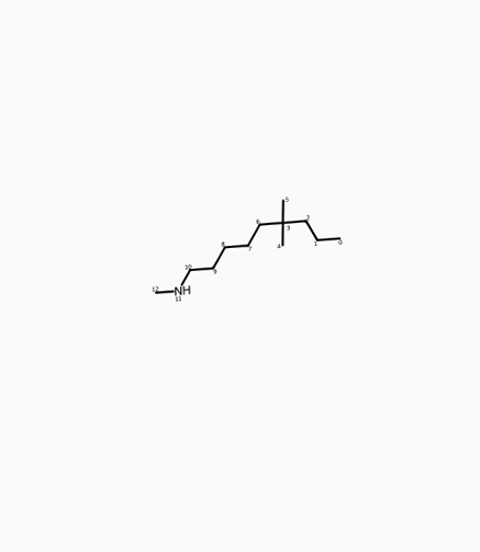 CCCC(C)(C)CCCCCNC